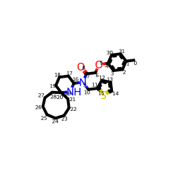 Cc1ccc(OCC(=O)N(Cc2cccs2)C2CCCC3(CCCCCCCC3)N2)cc1